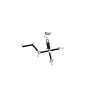 CCOP(=O)([O-])F.[Na+]